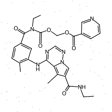 CCNC(=O)c1cn2ncnc(Nc3cc(C(=O)N(CC)C(=O)OCOC(=O)c4cccnc4)ccc3C)c2c1C